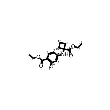 CCOC(=O)c1ccc(NC2(C(=O)OCC)CCC2)cc1F